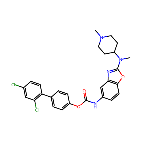 CN1CCC(N(C)c2nc3cc(NC(=O)Oc4ccc(-c5ccc(Cl)cc5Cl)cc4)ccc3o2)CC1